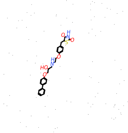 O=C1NC(=O)C(Cc2ccc(OCCNCC(O)COc3ccc(-c4ccccc4)cc3)cc2)S1